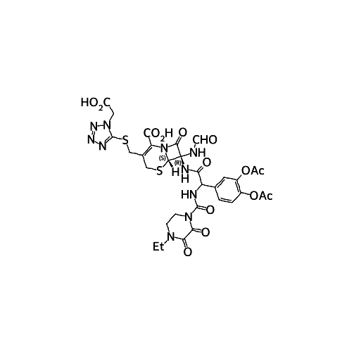 CCN1CCN(C(=O)NC(C(=O)N[C@]2(NC=O)C(=O)N3C(C(=O)O)=C(CSc4nnnn4CC(=O)O)CS[C@H]32)c2ccc(OC(C)=O)c(OC(C)=O)c2)C(=O)C1=O